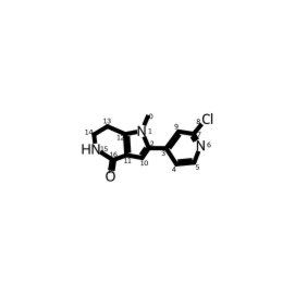 Cn1c(-c2ccnc(Cl)c2)cc2c1CCNC2=O